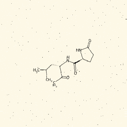 CC(=O)[C@H](CC(C)C)NC(=O)[C@@H]1CCC(=O)N1